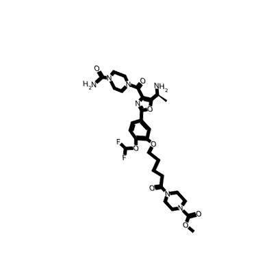 COC(=O)N1CCN(C(=O)CCCCOc2cc(-c3nc(C(=O)N4CCN(C(N)=O)CC4)c([C@H](C)N)o3)ccc2OC(F)F)CC1